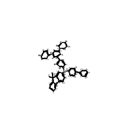 CC1(C)c2ccccc2-c2ccc(N(c3ccc(-c4ccccc4)cc3)c3ccc(-c4cc(-c5ccccc5)cc(-c5ccccc5)c4)cc3)cc21